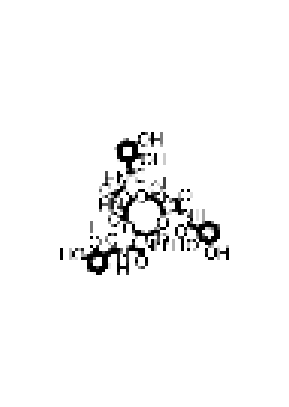 C[C@H]1OC(=O)[C@@H](NC(=O)CNC(=O)c2cccc(O)c2O)[C@@H](C)OC(=O)[C@@H](NC(=O)CNC(=O)c2cccc(O)c2O)[C@@H](C)OC(=O)[C@H]1NC(=O)CNC(=O)c1cccc(O)c1O